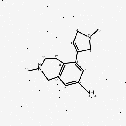 CN1CC=C(c2cc(N)cc3c2CCN(C)C3)C1